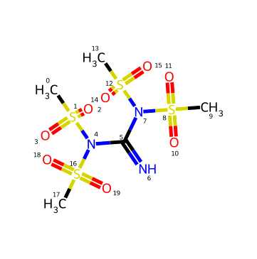 CS(=O)(=O)N(C(=N)N(S(C)(=O)=O)S(C)(=O)=O)S(C)(=O)=O